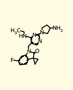 CCNc1nc(N2CCC(N)C2)ncc1CN1C(=O)C2(CC2)c2ccc(F)cc21